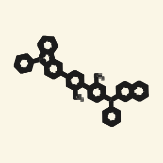 Cc1cc(-c2ccc3c(c2)c2ccccc2n3-c2ccccc2)ccc1-c1ccc(N(c2ccccc2)c2ccc3ccccc3c2)cc1C